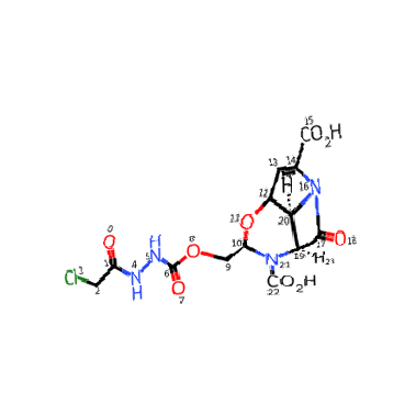 O=C(CCl)NNC(=O)OC[C@H]1OC2C=C(C(=O)O)N3C(=O)[C@H]([C@@H]23)N1C(=O)O